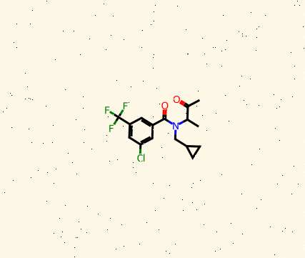 CC(=O)C(C)N(CC1CC1)C(=O)c1cc(Cl)cc(C(F)(F)F)c1